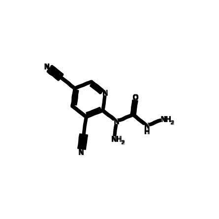 N#Cc1cnc(N(N)C(=O)NN)c(C#N)c1